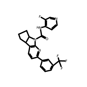 O=C(Nc1ccncc1F)N1c2nc(-c3cccc(C(F)(F)F)c3)ccc2C2CCCC21